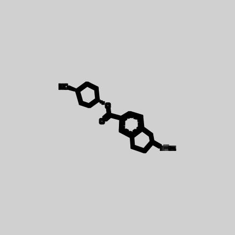 CCCCCCC1CCc2cc(C(=O)O[C@H]3CC[C@H](C#N)CC3)ccc2C1